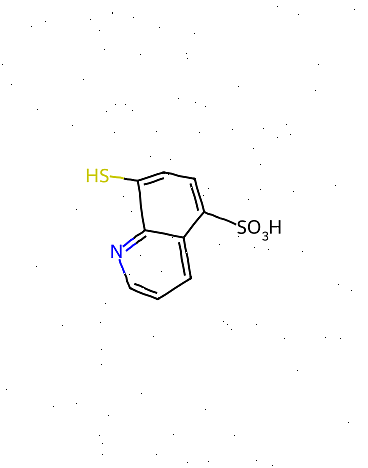 O=S(=O)(O)c1ccc(S)c2ncccc12